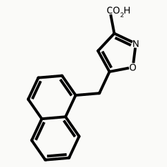 O=C(O)c1cc(Cc2cccc3ccccc23)on1